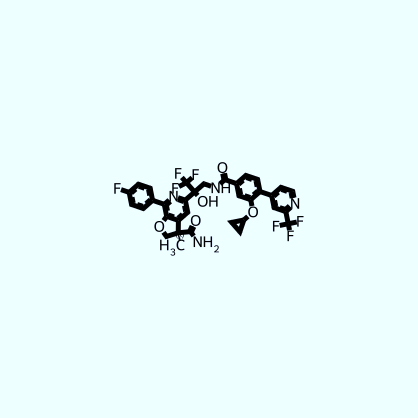 C[C@]1(C(N)=O)COc2c1cc(C(O)(CNC(=O)c1ccc(-c3ccnc(C(F)(F)F)c3)c(OC3CC3)c1)C(F)(F)F)nc2-c1ccc(F)cc1